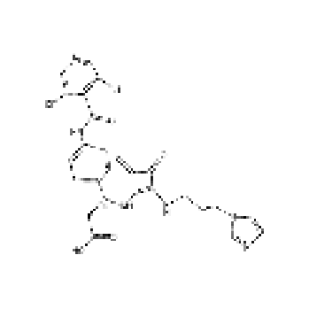 O=C(O)C[C@H](Nc1c(NCCCn2ccnc2)c(=O)c1=O)c1ccc(NC(=O)c2c(Cl)cncc2Cl)cc1